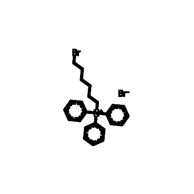 BrCCCCCC[N+](c1ccccc1)(c1ccccc1)c1ccccc1.[Br-]